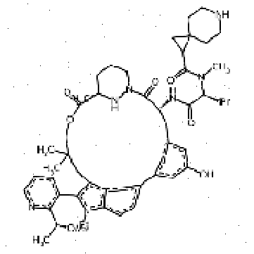 CCn1c(-c2cccnc2[C@H](C)OC)c2c3cc(ccc31)-c1cc(O)cc(c1)C[C@H](NC(=O)[C@H](C(C)C)N(C)C(=O)C1CC13CCNCC3)C(=O)N1CCC[C@@](C)(N1)C(=O)OCC(C)(C)C2